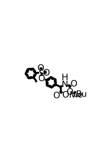 COC(=O)C(NC(=O)OC(C)(C)C)c1ccc(OS(=O)(=O)c2ccccc2C)cc1